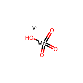 [O]=[Mn](=[O])(=[O])[OH].[V]